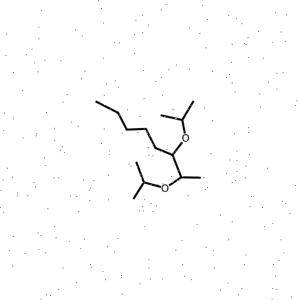 [CH2]C(OC(C)C)C(CCCCC)OC(C)C